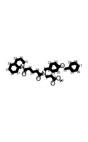 COC(=O)CCN(Cc1ccc(OCc2ccccc2)cc1)C(=O)CCCC(=O)N1CCCC2CCCCC21